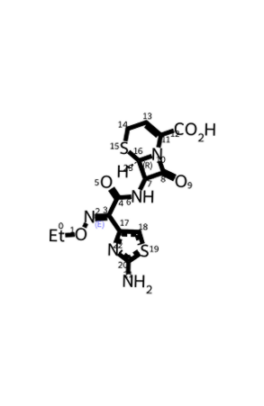 CCO/N=C(/C(=O)NC1C(=O)N2C(C(=O)O)=CCS[C@H]12)c1csc(N)n1